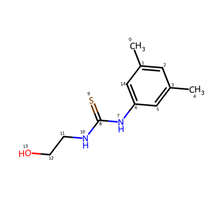 Cc1cc(C)cc(NC(=S)NCCO)c1